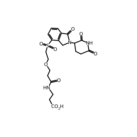 O=C(O)CCNC(=O)CCOCCS(=O)(=O)c1cccc2c1CN(C1CCC(=O)NC1=O)C2=O